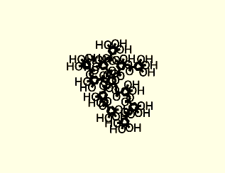 O=C(OCC1OC(OC(=O)c2cc(O)c(O)c(OC(=O)c3cc(O)c(O)c(O)c3)c2)C(OC(=O)c2cc(O)c(O)c(OC(=O)c3cc(O)c(O)c(O)c3)c2)C(OC(=O)c2cc(O)c(O)c(OC(=O)c3cc(O)c(O)c(O)c3)c2)C1OC(=O)c1cc(O)c(O)c(OC(=O)c2cc(O)c(O)c(O)c2)c1)c1cc(O)c(O)c(OC(=O)c2cc(O)c(O)c(OC(=O)c3cc(O)c(O)c(O)c3)c2)c1